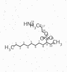 CCCCCCCCCC(CC)S(=O)(=O)OCCC.[NaH]